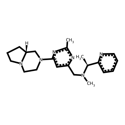 Cc1nc(CN(C)[C@@H](C)c2ccccn2)cc(N2CCN3CCC[C@@H]3C2)n1